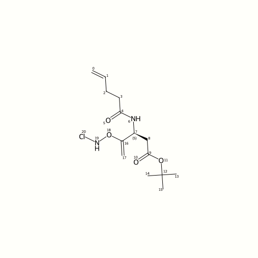 C=CCCC(=O)N[C@@H](CC(=O)OC(C)(C)C)C(=C)ONCl